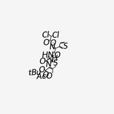 CC(=O)OCC1=C(C(=O)OC(C)(C)C)N2C(=O)[C@@H](NC(=O)C(=NOC(=O)C(Cl)Cl)c3ccsc3)[C@@H]2SC1